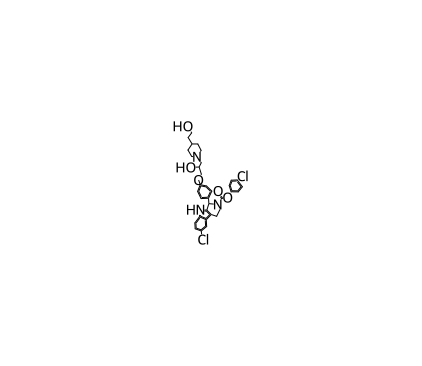 O=C(Oc1ccc(Cl)cc1)N1CCc2c([nH]c3ccc(Cl)cc23)C1c1ccc(OCC(O)CN2CCC(CCO)CC2)cc1